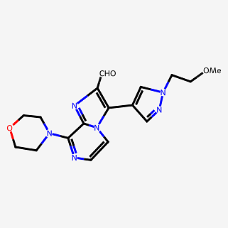 COCCn1cc(-c2c(C=O)nc3c(N4CCOCC4)nccn23)cn1